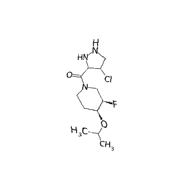 CC(C)O[C@H]1CCN(C(=O)C2NNCC2Cl)C[C@H]1F